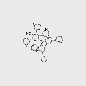 N#Cc1c(-c2cccnc2)c(-c2cccnc2)c(-n2c3ccc(-c4ccccc4)cc3c3cc(-c4ccccc4)ccc32)c(-c2cccnc2)c1-c1cccnc1